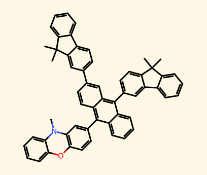 CN1c2ccccc2Oc2ccc(-c3c4ccccc4c(-c4ccc5c(c4)-c4ccccc4C5(C)C)c4cc(-c5ccc6c(c5)C(C)(C)c5ccccc5-6)ccc34)cc21